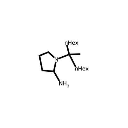 CCCCCCC(C)(CCCCCC)N1CCCC1N